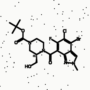 Cn1cc2c(Br)c(Cl)c(F)c(C(=O)N3CCN(C(=O)OC(C)(C)C)C[C@@H]3CO)c2n1